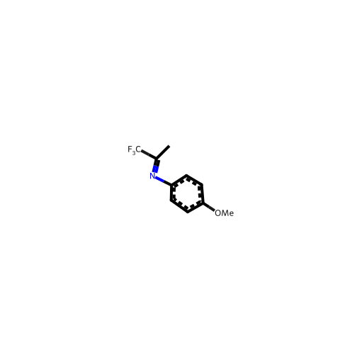 COc1ccc(N=C(C)C(F)(F)F)cc1